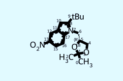 CC1(C)OC[C@@H](Cn2c(C(C)(C)C)cc3cc([N+](=O)[O-])ccc32)O1